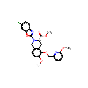 COC(=O)[C@@H]1Cc2c(ccc(OC)c2OCc2cccc(OC)n2)CN1c1nc2ccc(F)cc2o1